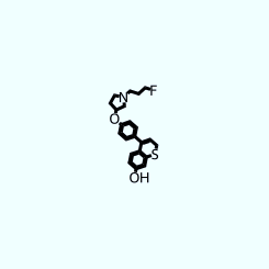 Oc1ccc2c(c1)SCC=C2c1ccc(OC2CCN(CCCF)C2)cc1